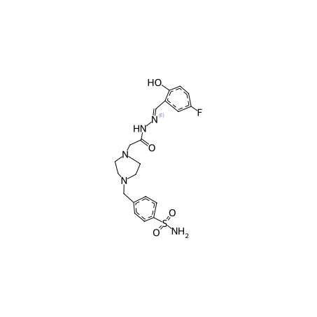 NS(=O)(=O)c1ccc(CN2CCN(CC(=O)N/N=C/c3cc(F)ccc3O)CC2)cc1